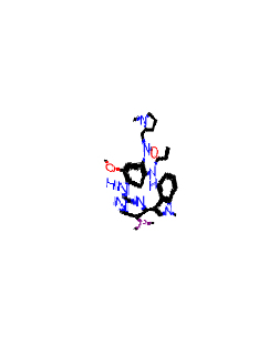 C=CC(=O)Nc1cc(Nc2ncc(P(C)C)c(-c3cn(C)c4ccccc34)n2)c(OC)cc1N(C)CC1CCCN1C